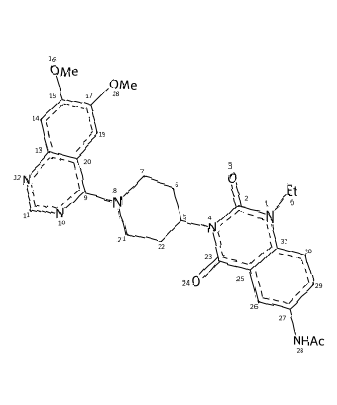 CCn1c(=O)n(C2CCN(c3ncnc4cc(OC)c(OC)cc34)CC2)c(=O)c2cc(NC(C)=O)ccc21